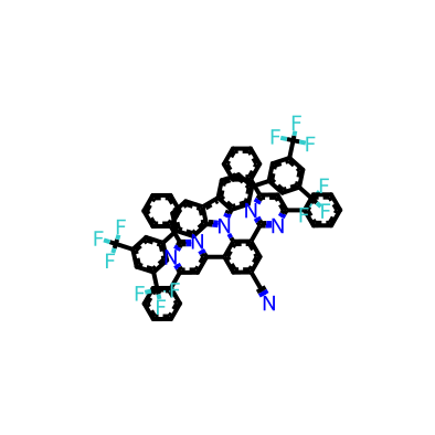 N#Cc1cc(-c2cc(-c3ccccc3)nc(-c3ccccc3)n2)c(-n2c3cc(-c4cc(C(F)(F)F)cc(C(F)(F)F)c4)ccc3c3ccc(-c4cc(C(F)(F)F)cc(C(F)(F)F)c4)cc32)c(-c2nc(-c3ccccc3)cc(-c3ccccc3)n2)c1